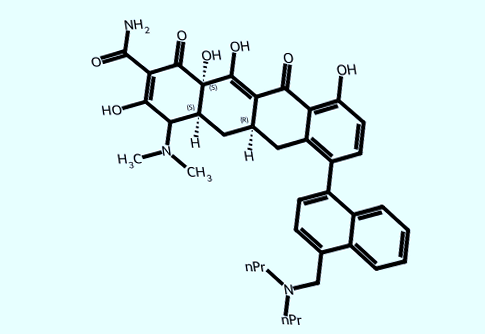 CCCN(CCC)Cc1ccc(-c2ccc(O)c3c2C[C@H]2C[C@H]4C(N(C)C)C(O)=C(C(N)=O)C(=O)[C@@]4(O)C(O)=C2C3=O)c2ccccc12